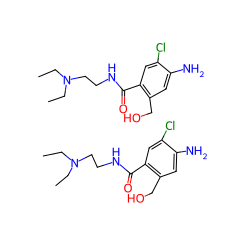 CCN(CC)CCNC(=O)c1cc(Cl)c(N)cc1CO.CCN(CC)CCNC(=O)c1cc(Cl)c(N)cc1CO